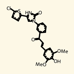 COc1cc(C=CC(=O)c2cccc(-n3cc(-c4ccc(Cl)s4)[nH]c3=O)c2)cc(OC)c1O